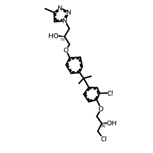 Cc1cn(C[C@H](O)COc2ccc(C(C)(C)c3ccc(OC[C@@H](O)CCl)c(Cl)c3)cc2)nn1